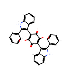 O=C1C(O)=C(c2c(-c3ccccc3)[nH]c3ccccc23)C(=O)C(O)=C1c1c(-c2ccccc2)[nH]c2ccccc12